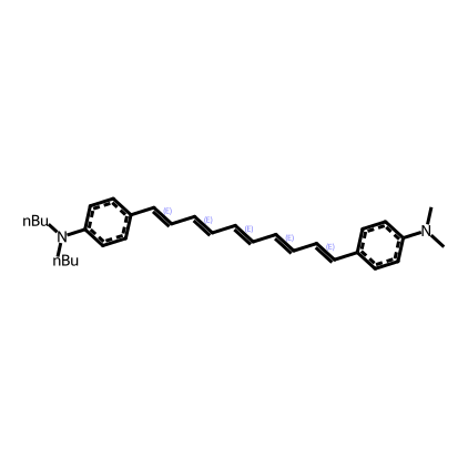 CCCCN(CCCC)c1ccc(/C=C/C=C/C=C/C=C/C=C/c2ccc(N(C)C)cc2)cc1